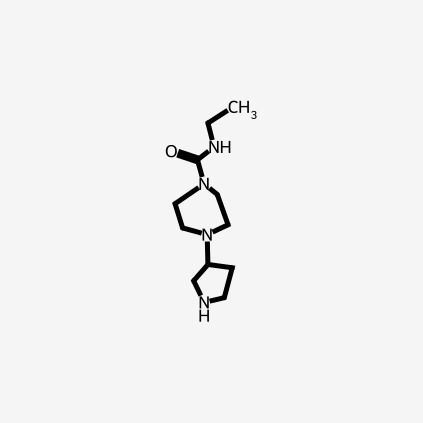 CCNC(=O)N1CCN(C2CCNC2)CC1